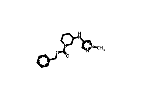 Cn1cc(NC2CCCN(C(=O)OCc3ccccc3)C2)cn1